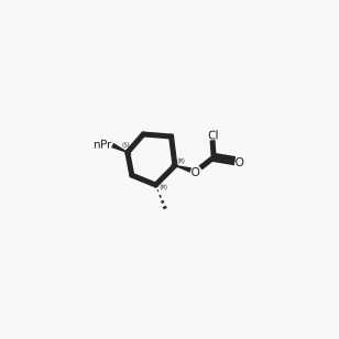 CCC[C@H]1CC[C@@H](OC(=O)Cl)[C@H](C)C1